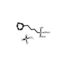 CCCCC[N+](CCC)(CCCCC)CCCCc1ccccc1.CS(=O)(=O)[O-]